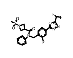 CS(=O)(=O)N1CC(C(=O)N(Cc2ccc(-c3nnc(C(F)F)o3)cc2F)c2ccccc2)C1